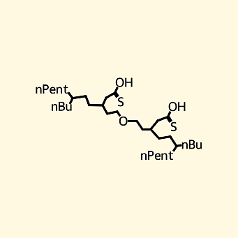 CCCCCC(CCCC)CCC(CCOCCC(CCC(CCCC)CCCCC)CC(O)=S)CC(O)=S